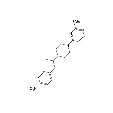 CSc1nccc(N2CCC(N(C)Cc3ccc([N+](=O)[O-])cc3)CC2)n1